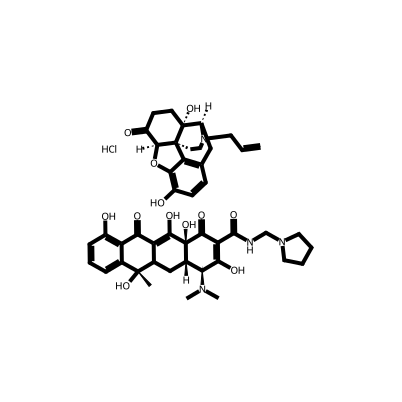 C=CCN1CC[C@]23c4c5ccc(O)c4O[C@H]2C(=O)CC[C@@]3(O)[C@H]1C5.CN(C)[C@@H]1C(O)=C(C(=O)NCN2CCCC2)C(=O)[C@@]2(O)C(O)=C3C(=O)c4c(O)cccc4[C@@](C)(O)C3C[C@@H]12.Cl